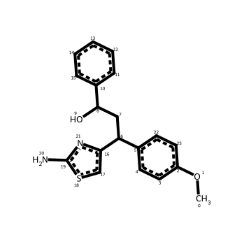 COc1ccc(C(CC(O)c2ccccc2)c2csc(N)n2)cc1